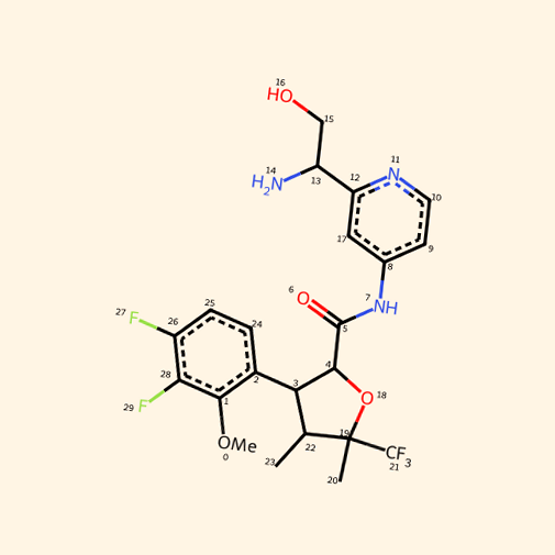 COc1c(C2C(C(=O)Nc3ccnc(C(N)CO)c3)OC(C)(C(F)(F)F)C2C)ccc(F)c1F